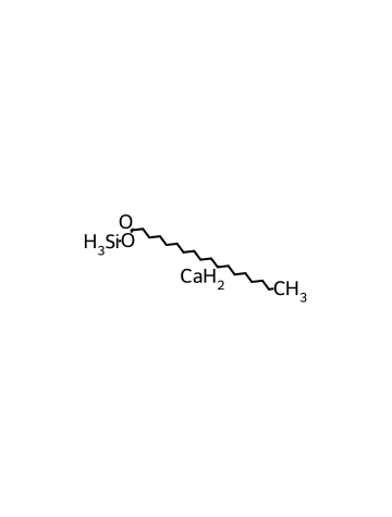 CCCCCCCCCCCCCCCCCC(=O)O[SiH3].[CaH2]